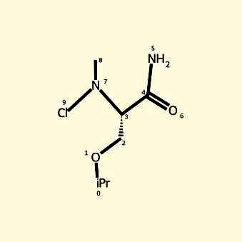 CC(C)OC[C@@H](C(N)=O)N(C)Cl